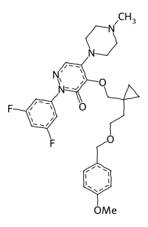 COc1ccc(COCCC2(COc3c(N4CCN(C)CC4)cnn(-c4cc(F)cc(F)c4)c3=O)CC2)cc1